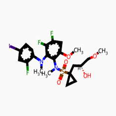 COC[C@H](O)CC1(S(=O)(=O)N(C)c2c(OC)cc(F)c(F)c2N(C)c2ccc(I)cc2F)CC1